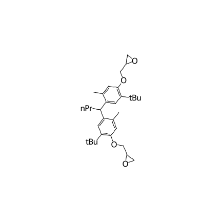 CCCC(c1cc(C(C)(C)C)c(OCC2CO2)cc1C)c1cc(C(C)(C)C)c(OCC2CO2)cc1C